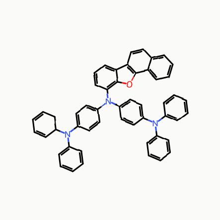 C1=CCC(N(c2ccccc2)c2ccc(N(c3ccc(N(c4ccccc4)c4ccccc4)cc3)c3cccc4c3oc3c5ccccc5ccc43)cc2)C=C1